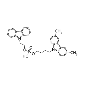 Cc1ccc2c(c1)c1cc(C)ccc1n2CCCCOP(=O)(O)OCCn1c2ccccc2c2ccccc21